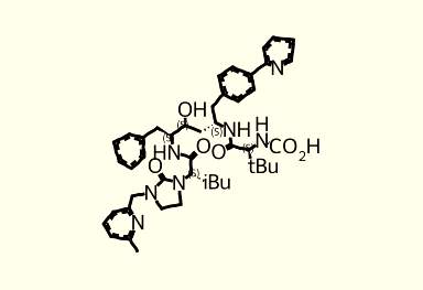 CCC(C)[C@@H](C(=O)N[C@@H](Cc1ccccc1)[C@@H](O)C[C@H](Cc1ccc(-c2ccccn2)cc1)NC(=O)[C@@H](NC(=O)O)C(C)(C)C)N1CCN(Cc2cccc(C)n2)C1=O